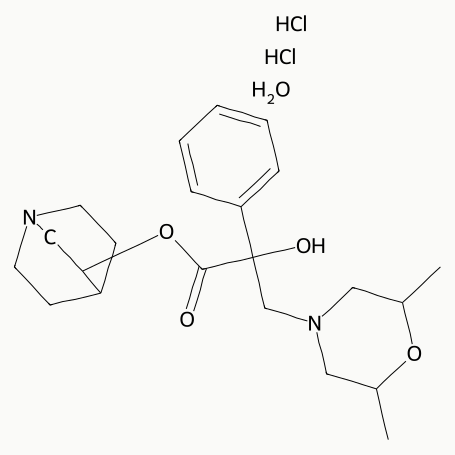 CC1CN(CC(O)(C(=O)OC2CN3CCC2CC3)c2ccccc2)CC(C)O1.Cl.Cl.O